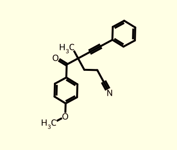 COc1ccc(C(=O)C(C)(C#Cc2ccccc2)CCC#N)cc1